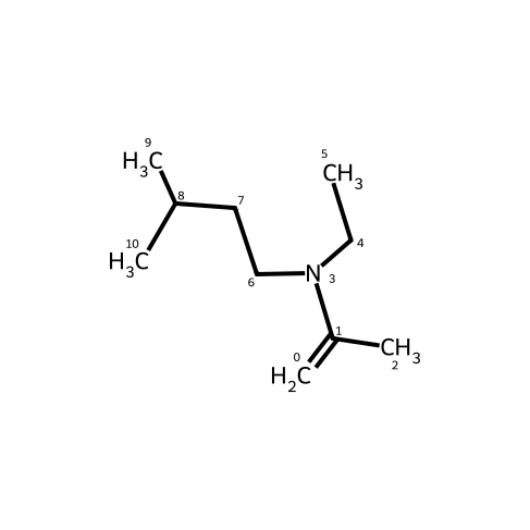 C=C(C)N(CC)CCC(C)C